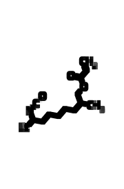 C=CC(=O)OCC(C)CCCCCC(CC)N=C=O